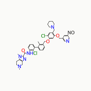 Cc1c(COc2cc(OCc3cncc(N=O)c3)c(CN3CCCCC3)cc2Cl)cccc1-c1cccc(NC(=O)c2nc3c(n2C)CCN(C)C3)c1Cl